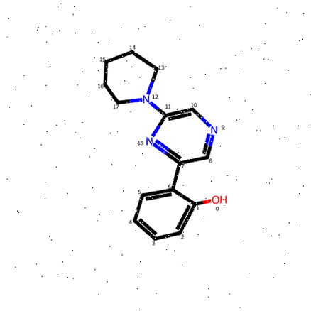 Oc1ccccc1-c1cncc(N2CC[CH]CC2)n1